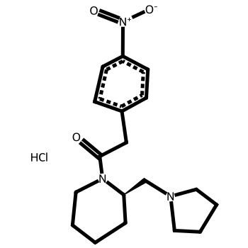 Cl.O=C(Cc1ccc([N+](=O)[O-])cc1)N1CCCC[C@@H]1CN1CCCC1